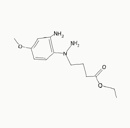 CCOC(=O)CCCN(N)c1ccc(OC)cc1N